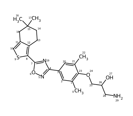 Cc1cc(-c2noc(-c3scc4c3CCC(C)(C)C4)n2)cc(C)c1OCC(O)CN